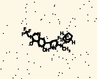 CN(c1ccc(-c2cc3ncn(CC(F)(F)F)c(=O)c3cc2O)nn1)[C@H]1C[C@@H]2CC[C@@H](C2)[C@H]1F